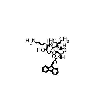 CC[C@H](C)[C@H](NC(=O)[C@H](CO)NC(=O)OCC1c2ccccc2-c2ccccc21)C(=O)N[C@@H](CCCCN)C(=O)O